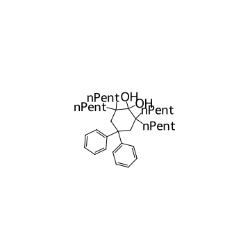 CCCCCC1(CCCCC)CC(c2ccccc2)(c2ccccc2)CC(CCCCC)(CCCCC)C1(O)O